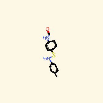 Cc1ccc(NSc2ccc(NC=O)cc2)cc1